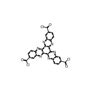 O=C(Cl)c1ccc2nc3c4nc5cc(C(=O)Cl)ccc5nc4c4nc5cc(C(=O)Cl)ccc5nc4c3nc2c1